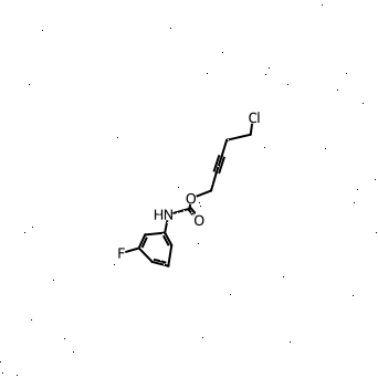 O=C(Nc1cccc(F)c1)OCC#CCCCl